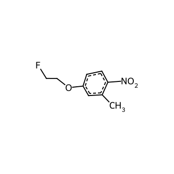 Cc1cc(OCCF)ccc1[N+](=O)[O-]